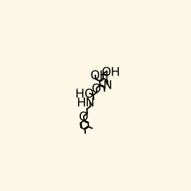 Cc1ccc(OCCCNCC(O)COc2c(C)ncc(CO)c2CO)cc1C